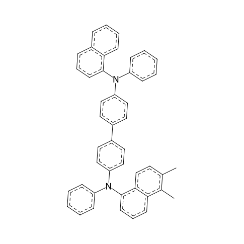 Cc1ccc2c(N(c3ccccc3)c3ccc(-c4ccc(N(c5ccccc5)c5cccc6ccccc56)cc4)cc3)cccc2c1C